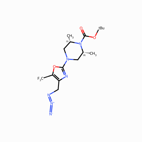 C[C@@H]1CN(c2nc(CN=[N+]=[N-])c(C(F)(F)F)o2)C[C@H](C)N1C(=O)OC(C)(C)C